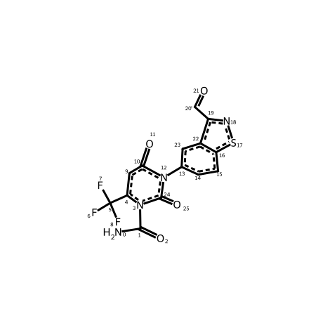 NC(=O)n1c(C(F)(F)F)cc(=O)n(-c2ccc3snc([C]=O)c3c2)c1=O